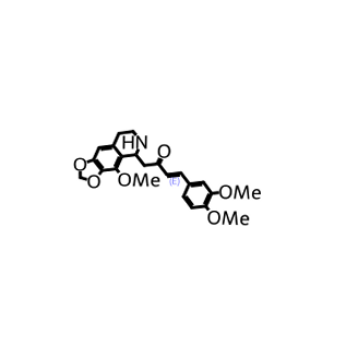 COc1ccc(/C=C/C(=O)CC2NCCc3cc4c(c(OC)c32)OCO4)cc1OC